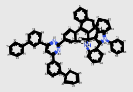 CC1Cc2ccccc2C(C2C=CC(c3nc(-c4cccc(-c5ccccc5)c4)cc(-c4cccc(C5C=CC=CC5)c4)n3)=CC2C)=C1C1(C)Nc2ccccc2-c2c1c1ccccc1n2-c1ccccc1